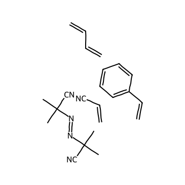 C=CC#N.C=CC=C.C=Cc1ccccc1.CC(C)(C#N)N=NC(C)(C)C#N